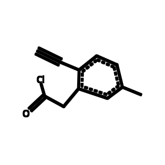 C#Cc1ccc(C)cc1CC(=O)Cl